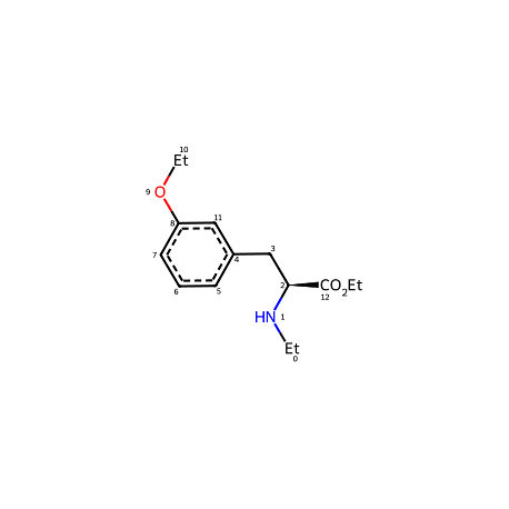 CCN[C@@H](Cc1cccc(OCC)c1)C(=O)OCC